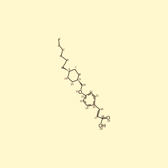 CCCCCC[C@H]1CC[C@@H](COc2ccc(/C=C/C(=O)O)cc2)CC1